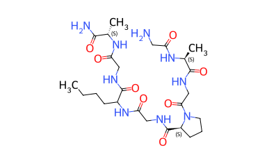 CCCCC(NC(=O)CNC(=O)[C@@H]1CCCN1C(=O)CNC(=O)[C@H](C)NC(=O)CN)C(=O)NCC(=O)N[C@@H](C)C(N)=O